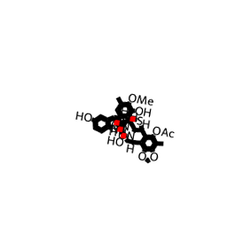 COc1c(C)cc2c(c1O)[C@H]1N[C@@H](C2)[C@H](O)N2C1[C@@H]1SC[C@]3(NCCc4c3[nH]c3ccc(O)cc43)C(=O)OC[C@H]2c2c3c(c(C)c(OC(C)=O)c21)OCO3